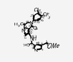 COCc1cncc(C(O)Nc2cnn3c2C(=O)N(c2ccc(C(F)(F)F)c(Cl)c2)C[C@@H]3C)c1